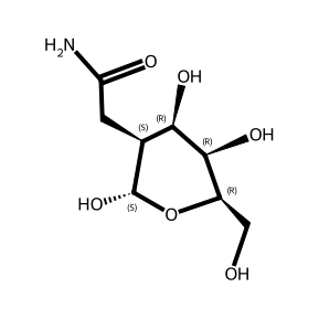 NC(=O)C[C@H]1[C@@H](O)[C@@H](O)[C@@H](CO)O[C@@H]1O